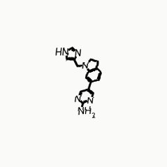 Nc1ncc(-c2ccc3c(c2)N(Cc2c[nH]cn2)CC3)cn1